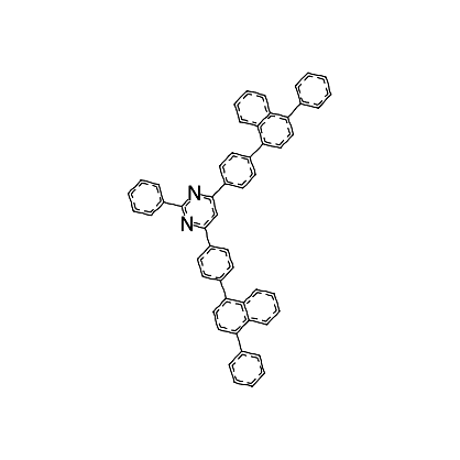 c1ccc(-c2nc(-c3ccc(-c4ccc(-c5ccccc5)c5ccccc45)cc3)cc(-c3ccc(-c4ccc(-c5ccccc5)c5ccccc45)cc3)n2)cc1